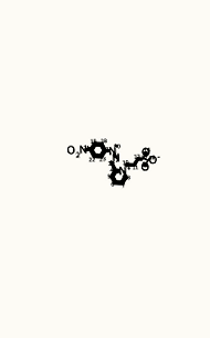 CN(/N=C/c1cccc[n+]1CCCS(=O)(=O)[O-])c1ccc([N+](=O)[O-])cc1